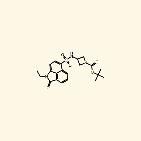 CCN1C(=O)c2cccc3c(S(=O)(=O)NC4CN(C(=O)OC(C)(C)C)C4)ccc1c23